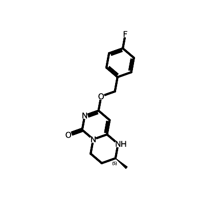 C[C@H]1CCn2c(cc(OCc3ccc(F)cc3)nc2=O)N1